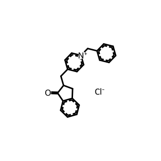 O=C1c2ccccc2CC1Cc1cc[n+](Cc2ccccc2)cc1.[Cl-]